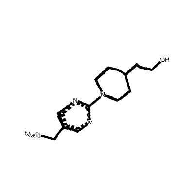 COCc1cnc(N2CCC(CCO)CC2)nc1